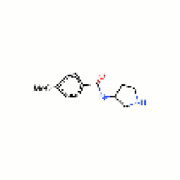 COc1ccc(C(=O)N[C@H]2CCNC2)cc1